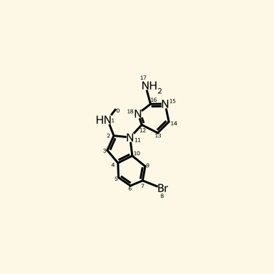 CNc1cc2ccc(Br)cc2n1-c1ccnc(N)n1